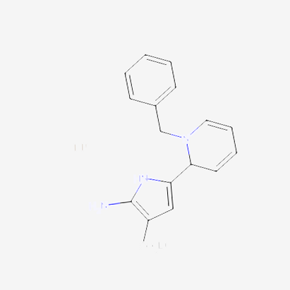 Br.CCOC(=O)c1cc(C2C=CC=CN2Cc2ccccc2)[nH]c1N